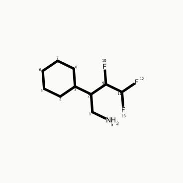 NCC(C1CCCCC1)C(F)C(F)F